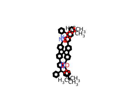 CC(C)(C)c1ccc(-c2nnc(-c3ccc4c(c3)C3(c5cc(-c6ccc(C(c7ccccc7)c7ccccc7)cc6)ccc5-4)c4cc(-c5ccc(C(c6ccccc6)c6ccccc6)cc5)ccc4-c4ccc(-c5nnc(-c6ccc(C(C)(C)C)cc6)o5)cc43)o2)cc1